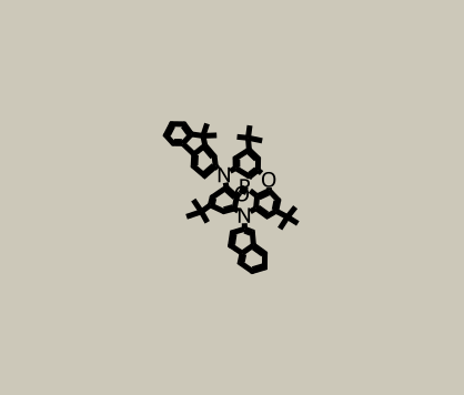 CC(C)(C)c1cc2c3c(c1)N(c1ccc4c(c1)C(C)(C)c1ccccc1-4)c1cc(C(C)(C)C)cc4c1P3(=O)c1c(cc(C(C)(C)C)cc1N4c1ccc3ccccc3c1)O2